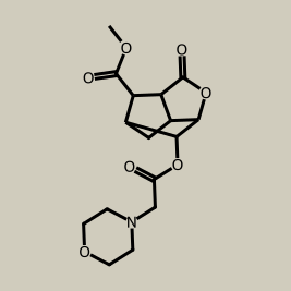 COC(=O)C1C2CC3C(OC(=O)C31)C2OC(=O)CN1CCOCC1